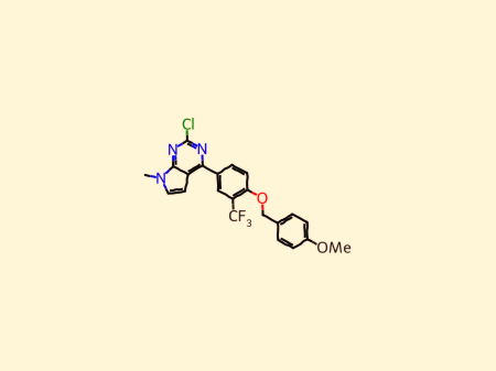 COc1ccc(COc2ccc(-c3nc(Cl)nc4c3ccn4C)cc2C(F)(F)F)cc1